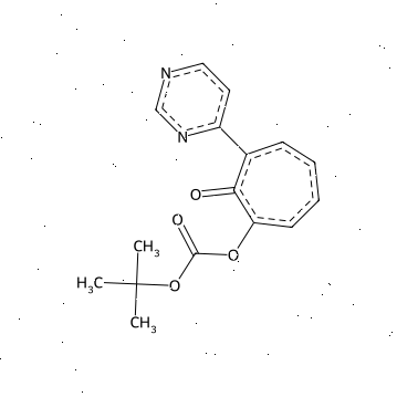 CC(C)(C)OC(=O)Oc1ccccc(-c2ccncn2)c1=O